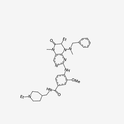 CCC1C(=O)N(C)c2cnc(Nc3ccc(C(=O)NCC4CCN(CC)CC4)cc3OC)nc2N1N(C)Cc1ccccc1